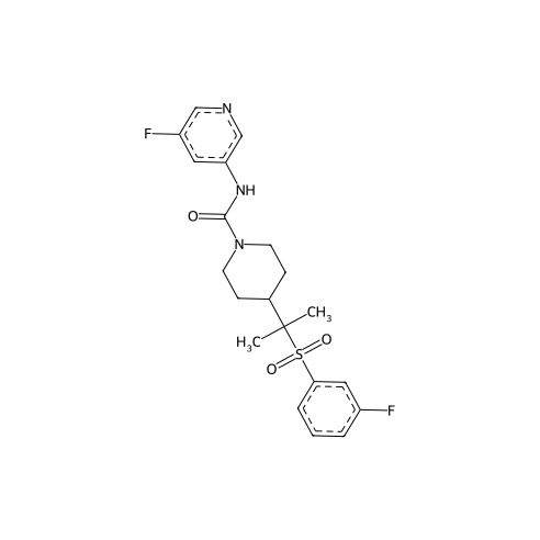 CC(C)(C1CCN(C(=O)Nc2cncc(F)c2)CC1)S(=O)(=O)c1cccc(F)c1